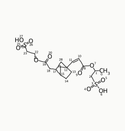 CC(CS(=O)(=O)O)OC(=O)/C=C\C12CCC(C1)C(CC(=O)OCCS(=O)(=O)O)C2